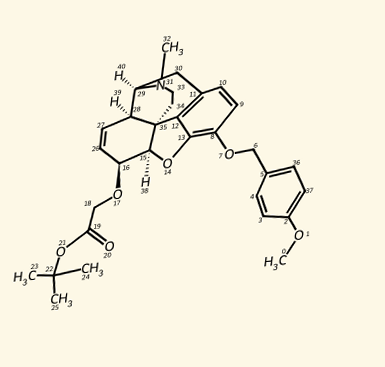 COc1ccc(COc2ccc3c4c2O[C@H]2[C@@H](OCC(=O)OC(C)(C)C)C=C[C@H]5[C@@H](C3)N(C)CC[C@@]452)cc1